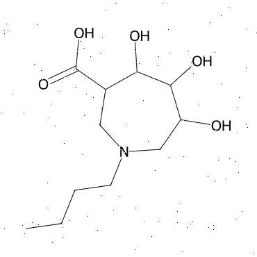 CCCCN1CC(O)C(O)C(O)C(C(=O)O)C1